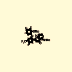 COc1c(Oc2cc(C(F)(F)F)c(F)cc2-c2cc(=O)c3c(NC(C)=O)nccc3[nH]2)ccc(F)c1F